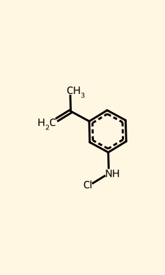 C=C(C)c1cccc(NCl)c1